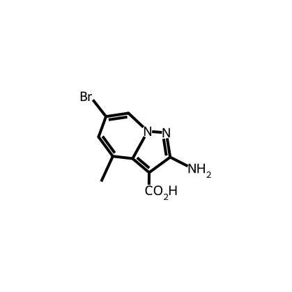 Cc1cc(Br)cn2nc(N)c(C(=O)O)c12